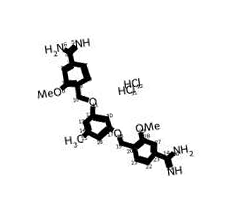 COc1cc(C(=N)N)ccc1COc1cc(C)cc(OCc2ccc(C(=N)N)cc2OC)c1.Cl.Cl